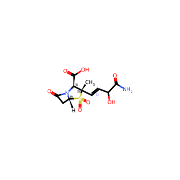 C[C@]1(/C=C/C(O)C(N)=O)[C@H](C(=O)O)N2C(=O)C[C@H]2S1(=O)=O